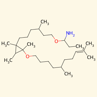 CCC(N)OCCC(C)CCCC1(C)C(C)C1(C)OCCCCC(C)CCC=C(C)C